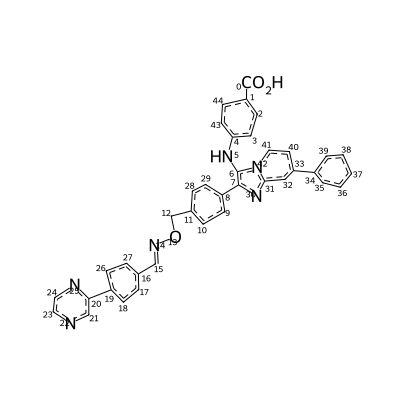 O=C(O)c1ccc(Nc2c(-c3ccc(CON=Cc4ccc(-c5cnccn5)cc4)cc3)nc3cc(-c4ccccc4)ccn23)cc1